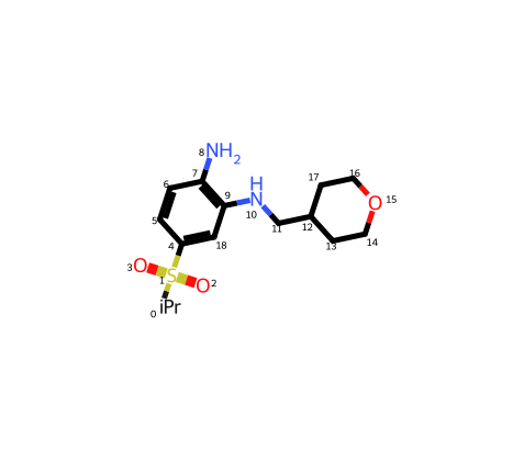 CC(C)S(=O)(=O)c1ccc(N)c(NCC2CCOCC2)c1